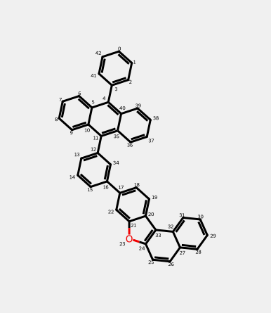 c1ccc(-c2c3ccccc3c(-c3cccc(-c4ccc5c(c4)oc4ccc6ccccc6c45)c3)c3ccccc23)cc1